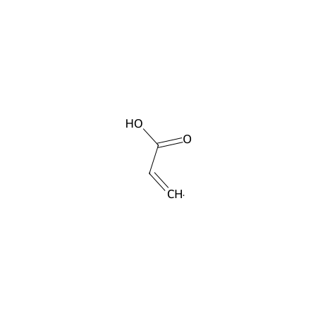 [CH]=CC(=O)O